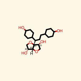 OC1CCC(CCC(C2CCC(O)CC2)[C@]23OC[C@@H](O)[C@H]2OC[C@@H]3O)CC1